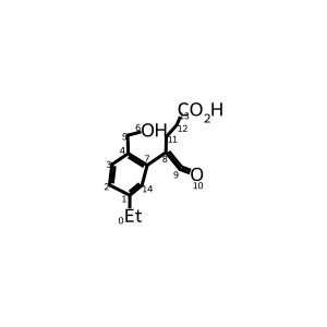 CCc1ccc(CO)c(C(=C=O)CCC(=O)O)c1